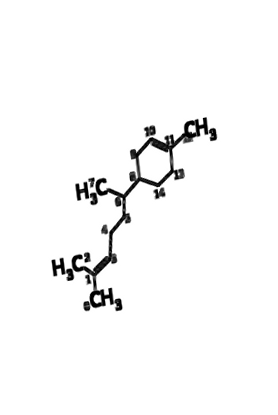 CC(C)=CCCC(C)C1CC=C(C)CC1